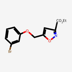 CCOC(=O)c1cc(COc2cccc(Br)c2)on1